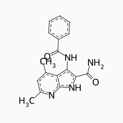 Cc1cc(C)c2c(NC(=O)c3ccccc3)c(C(N)=O)[nH]c2n1